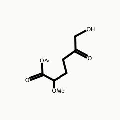 COC(CCC(=O)CO)C(=O)OC(C)=O